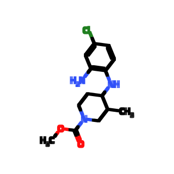 COC(=O)N1CCC(Nc2ccc(Cl)cc2N)C(C)C1